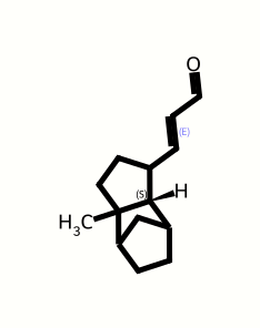 CC12CCC(/C=C/C=O)[C@@H]1C1CCC2C1